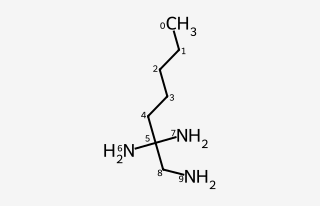 CCCCCC(N)(N)CN